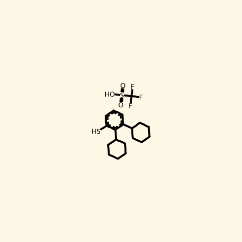 O=S(=O)(O)C(F)(F)F.Sc1cccc(C2CCCCC2)c1C1CCCCC1